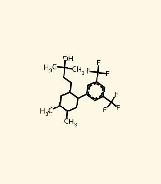 CC1CC(CCC(C)(C)O)C(c2cc(C(F)(F)F)cc(C(F)(F)F)c2)CC1C